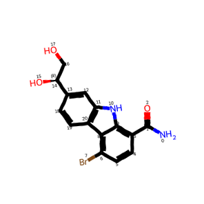 NC(=O)c1ccc(Br)c2c1[nH]c1cc([C@@H](O)CO)ccc12